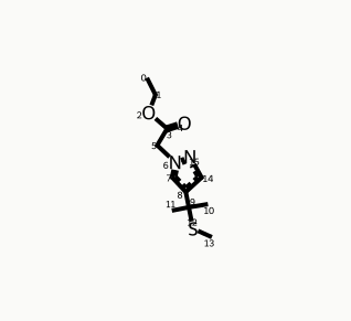 CCOC(=O)Cn1cc(C(C)(C)SC)cn1